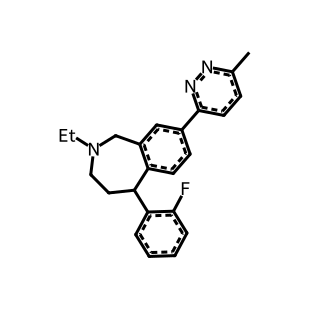 CCN1CCC(c2ccccc2F)c2ccc(-c3ccc(C)nn3)cc2C1